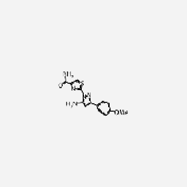 COc1ccc(-c2cc(N)n(-c3nc(C(N)=O)cs3)n2)cc1